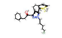 O=C(CC1CCCCC1)c1nn(CCCCCCl)c2c1CCc1ccsc1-2